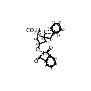 O=C1c2ccccc2C(=O)N1OC1CN(C(=O)O)C(Cc2ccccc2)(C(=O)O)C1